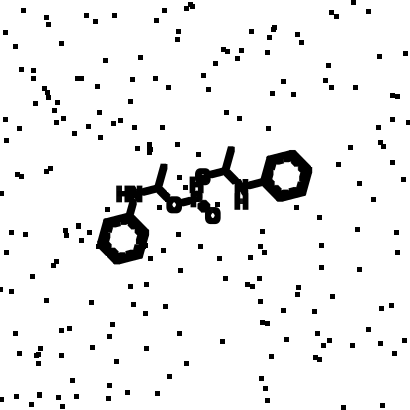 CC(Nc1ccccc1)O[PH](=O)OC(C)Nc1ccccc1